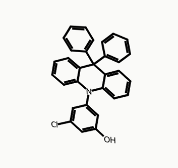 Oc1cc(Cl)cc(N2c3ccccc3C(c3ccccc3)(c3ccccc3)c3ccccc32)c1